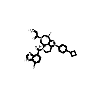 C=CC(=O)N1C[C@@H](F)c2nn(-c3ccc(C4CCC4)cc3)c3c2[C@H](C1)N(C(=O)c1ccc(Br)c2[nH]cnc12)CC3